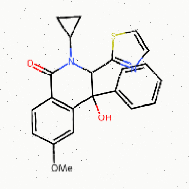 COc1ccc2c(c1)C(O)(c1ccccc1)C(c1nccs1)N(C1CC1)C2=O